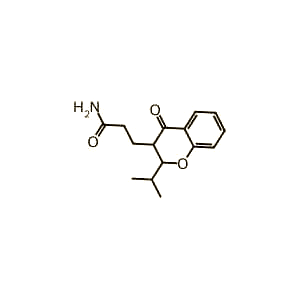 CC(C)C1Oc2ccccc2C(=O)C1CCC(N)=O